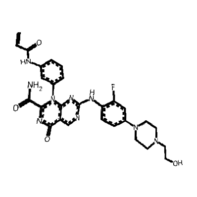 C=CC(=O)Nc1cccc(-n2c(C(N)=O)nc(=O)c3cnc(Nc4ccc(N5CCN(CCO)CC5)cc4F)nc32)c1